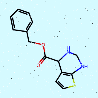 O=C(OCc1ccccc1)C1NCNc2sccc21